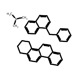 CN(C)C.c1ccc(Cc2cccc3ccccc23)cc1.c1ccc2c(c1)ccc1c3c(ccc12)CCCC3